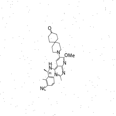 COc1nc2nc(C)nc(N[C@H](C)c3cccc(C#N)c3C)c2cc1N1CCC2(CCC(=O)CC2)CC1